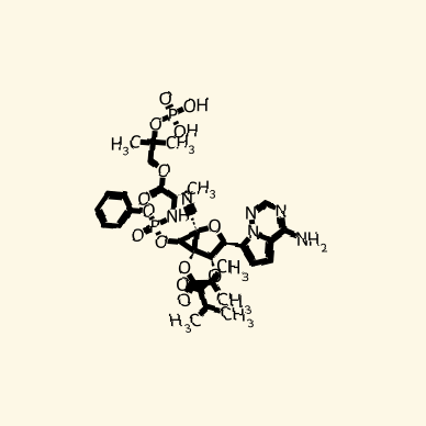 CC(C)C(=O)O[C@H]1[C@H](c2ccc3c(N)ncnn23)O[C@]2(C#N)C(OP(=O)(N[C@@H](C)C(=O)OCC(C)(C)OP(=O)(O)O)Oc3ccccc3)[C@]12OC(=O)C(C)C